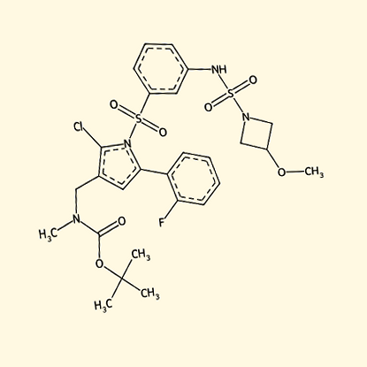 COC1CN(S(=O)(=O)Nc2cccc(S(=O)(=O)n3c(-c4ccccc4F)cc(CN(C)C(=O)OC(C)(C)C)c3Cl)c2)C1